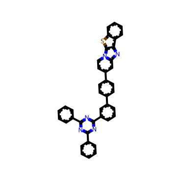 c1ccc(-c2nc(-c3ccccc3)nc(-c3cccc(-c4ccc(-c5ccn6c(c5)nc5c7ccccc7sc56)cc4)c3)n2)cc1